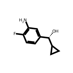 Nc1cc([C@H](O)C2CC2)ccc1F